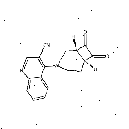 N#Cc1cnc2ccccc2c1N1CC[C@H]2C(=O)C(=O)[C@H]2C1